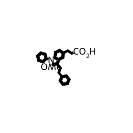 COc1ccccc1-n1cc(CCc2ccccc2)c2cc(CCC(=O)O)ccc21